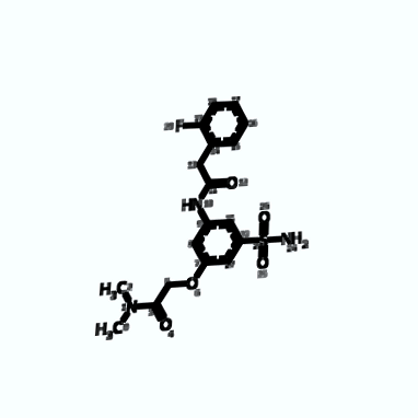 CN(C)C(=O)COc1cc(NC(=O)Cc2ccccc2F)cc(S(N)(=O)=O)c1